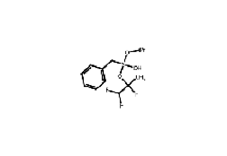 CC(C)O[Si](O)(Cc1ccccc1)OC(C)(F)C(F)F